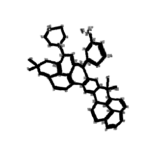 CC1(C)C=c2ccc3c4c2=C(C1)C(N1CCOCC1)C=C4C(c1cccc(C(F)(F)F)c1)C1=C3C=C2C3C=Cc4cccc5ccc(c3c45)C(C)(C)C2C1